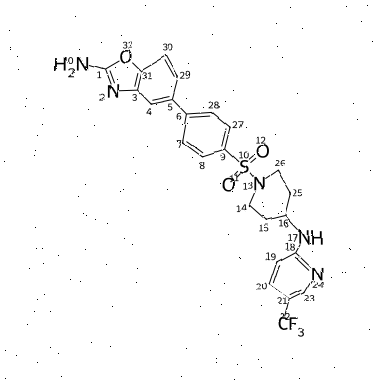 Nc1nc2cc(-c3ccc(S(=O)(=O)N4CCC(Nc5ccc(C(F)(F)F)cn5)CC4)cc3)ccc2o1